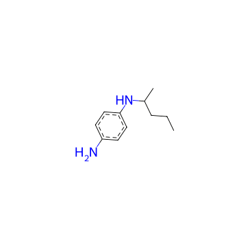 CCCC(C)Nc1ccc(N)cc1